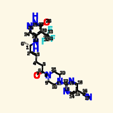 C[C@@H](/C=C/CCC(=O)N1CCN(c2ncc(C#N)cn2)CC1)Nc1cn[nH]c(=O)c1C(F)(F)F